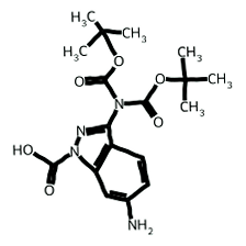 CC(C)(C)OC(=O)N(C(=O)OC(C)(C)C)c1nn(C(=O)O)c2cc(N)ccc12